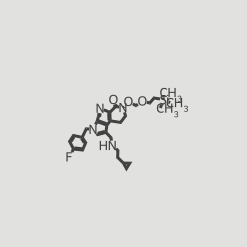 C[Si](C)(C)CCOCON1CCc2c(ncc3c2c(CNCCC2CC2)cn3Cc2ccc(F)cc2)C1=O